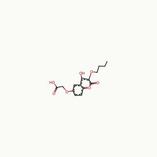 CCCCOc1c(O)c2cc(OCC(=O)O)ccc2oc1=O